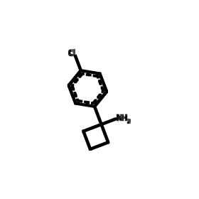 NC1(c2ccc(Cl)cc2)CCC1